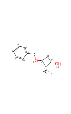 C[C@@H]1[C@@H](OCc2ccccc2)C[C@@H]1O